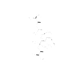 C=C(C)C(=O)OC(C)CC(C)(C)C(N=C=O)C(C)CC(C)(C)OC(=O)C(=C)C